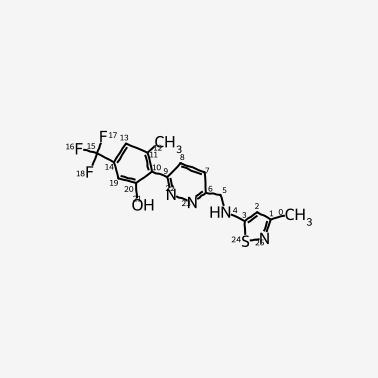 Cc1cc(NCc2ccc(-c3c(C)cc(C(F)(F)F)cc3O)nn2)sn1